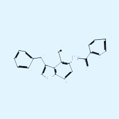 O=Cc1c(NC(=O)c2ccccc2)ccc2occ(Cc3ccccc3)c12